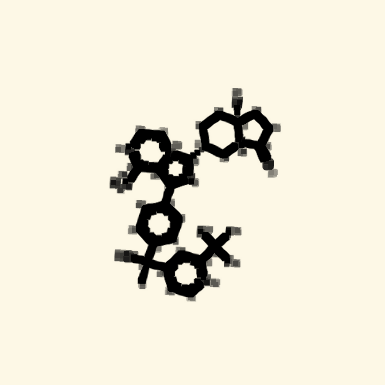 C[C@@](O)(c1ccc(-c2nc([C@@H]3CC[C@H]4CCC(=O)N4C3)n3ccnc(N)c23)cc1)c1ccnc(C(F)(F)F)c1